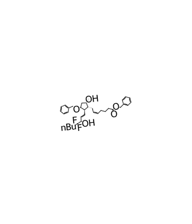 CCCCC(F)(F)C(O)/C=C/[C@@H]1[C@@H](C/C=C\CCCC(=O)OCc2ccccc2)[C@@H](O)C[C@H]1OCc1ccccc1